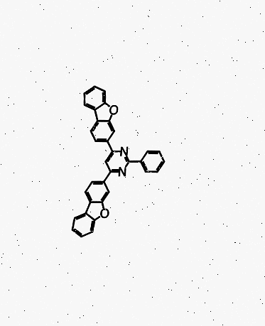 c1ccc(-c2nc(-c3ccc4c(c3)oc3ccccc34)cc(-c3ccc4c(c3)oc3ccccc34)n2)cc1